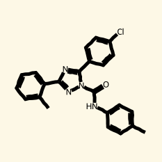 Cc1ccc(NC(=O)n2nc(-c3ccccc3C)nc2-c2ccc(Cl)cc2)cc1